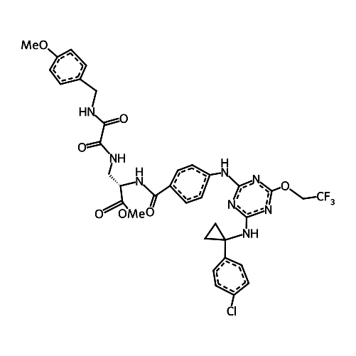 COC(=O)[C@H](CNC(=O)C(=O)NCc1ccc(OC)cc1)NC(=O)c1ccc(Nc2nc(NC3(c4ccc(Cl)cc4)CC3)nc(OCC(F)(F)F)n2)cc1